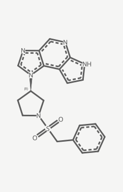 O=S(=O)(Cc1ccccc1)N1CC[C@@H](n2cnc3cnc4[nH]ccc4c32)C1